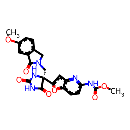 COC(=O)Nc1ccc2oc([C@]3(CN4Cc5ccc(OC)cc5C4=O)NC(=O)NC3=O)cc2n1